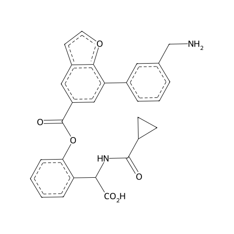 NCc1cccc(-c2cc(C(=O)Oc3ccccc3C(NC(=O)C3CC3)C(=O)O)cc3ccoc23)c1